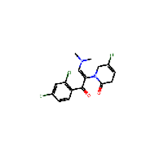 CN(C)C=C(C(=O)c1ccc(Cl)cc1Cl)N1CC(Cl)=CCC1=O